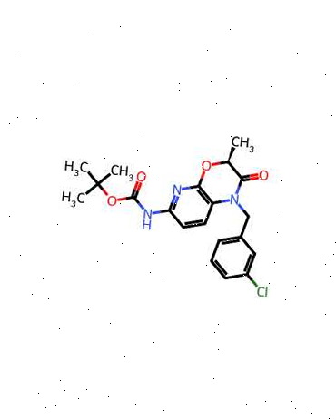 C[C@@H]1Oc2nc(NC(=O)OC(C)(C)C)ccc2N(Cc2cccc(Cl)c2)C1=O